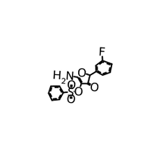 NC1=C(OS(=O)(=O)c2ccccc2)C(=O)C(c2cccc(F)c2)O1